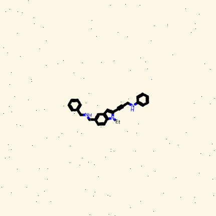 CCn1c(C#CCNc2ccccc2)cc2cc(CNCc3ccccc3)ccc21